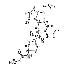 CCCC1=NNC(=O)C1=C1C=C(S(=O)(=O)c2ccc(NC(=O)CC)cc2)c2ccccc2N1